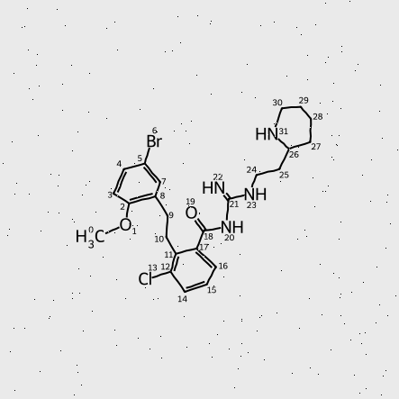 COc1ccc(Br)cc1CCc1c(Cl)cccc1C(=O)NC(=N)NCCC1CCCCN1